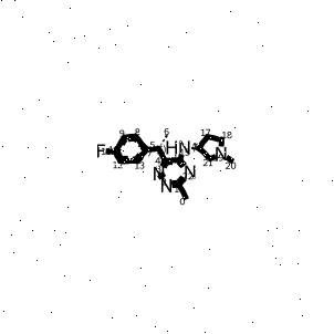 Cc1nnc([C@@H](C)c2ccc(F)cc2)c(N[C@@H]2CCN(C)C2)n1